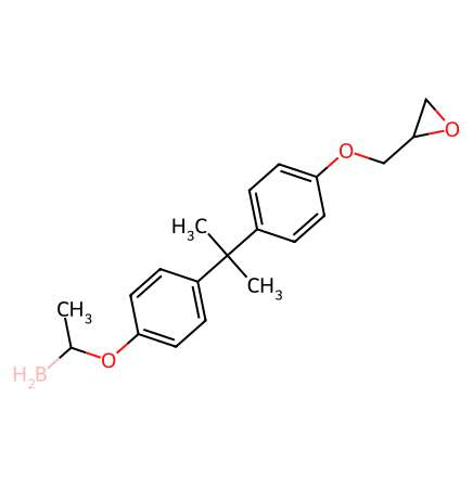 BC(C)Oc1ccc(C(C)(C)c2ccc(OCC3CO3)cc2)cc1